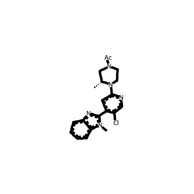 CC(=O)N1CCN(c2cc(-c3nc4ccccc4n3C)c(Cl)cn2)[C@H](C)C1